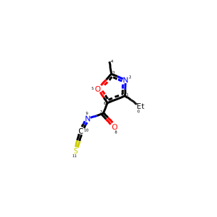 CCc1nc(C)oc1C(=O)N=C=S